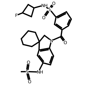 CS(=O)(=O)Nc1ccc2c(c1)C1(CCCCC1)CN2C(=O)c1cccc(S(=O)(=O)NC2CC(F)C2)c1